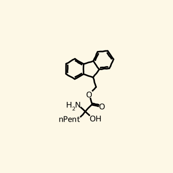 CCCCCC(N)(O)C(=O)OCC1c2ccccc2-c2ccccc21